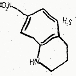 O=[N+]([O-])c1ccc2c(c1)NCCC2.S